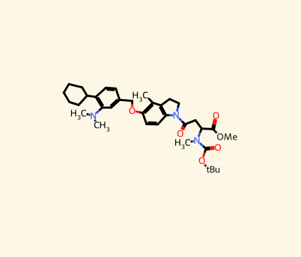 COC(=O)C(CC(=O)N1CCc2c1ccc(OCc1ccc(C3CCCCC3)c(N(C)C)c1)c2C)N(C)C(=O)OC(C)(C)C